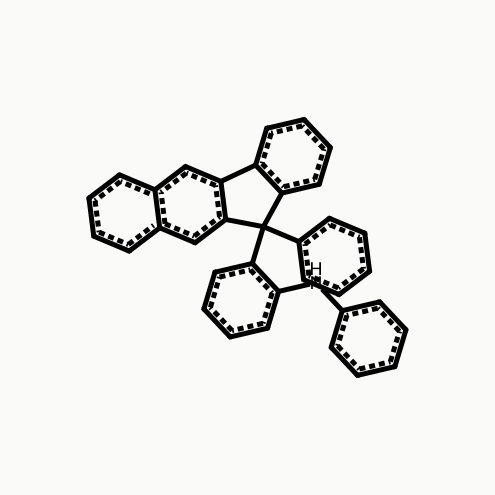 c1ccc(Nc2ccccc2C2(c3ccccc3)c3ccccc3-c3cc4ccccc4cc32)cc1